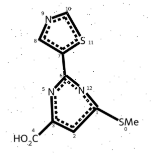 CSc1cc(C(=O)O)nc(-c2cncs2)n1